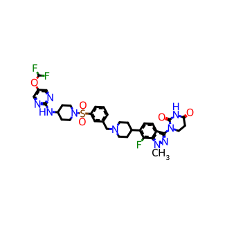 Cn1nc(N2CCC(=O)NC2=O)c2ccc(C3CCN(Cc4cccc(S(=O)(=O)N5CCC(Nc6ncc(OC(F)F)cn6)CC5)c4)CC3)c(F)c21